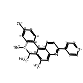 Cc1cc2nc(-c3ccncc3)ccc2c(-c2ccc(Cl)cc2)c1[C@H](OC(C)(C)C)C(=O)O